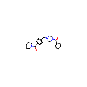 O=C(c1ccc(CN2CCN(C(=O)c3ccccc3)CC2)cc1)N1CCCCC1